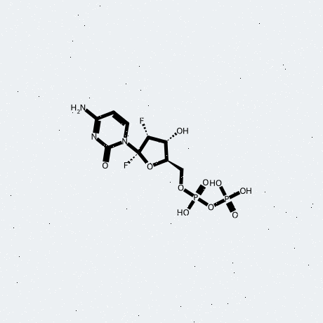 Nc1ccn([C@]2(F)O[C@H](COP(=O)(O)OP(=O)(O)O)[C@@H](O)[C@H]2F)c(=O)n1